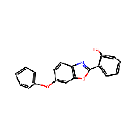 Oc1ccccc1-c1nc2ccc(Oc3ccccc3)cc2o1